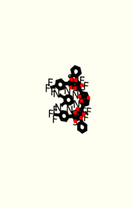 N#Cc1c(C#N)c(-n2c3cc(C(F)(F)F)ccc3c3ccc(C(F)(F)F)cc32)c(-n2c3ccccc3c3cc4c(cc32)sc2ccccc24)c(-n2c3ccccc3c3cc4c(cc32)sc2ccccc24)c1-n1c2cc(C(F)(F)F)ccc2c2ccc(C(F)(F)F)cc21